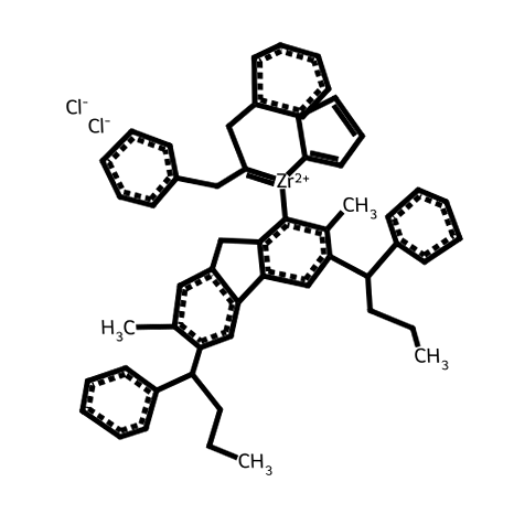 CCCC(c1ccccc1)c1cc2c(cc1C)Cc1c-2cc(C(CCC)c2ccccc2)c(C)[c]1[Zr+2]([C]1=CC=CC1)=[C](Cc1ccccc1)Cc1ccccc1.[Cl-].[Cl-]